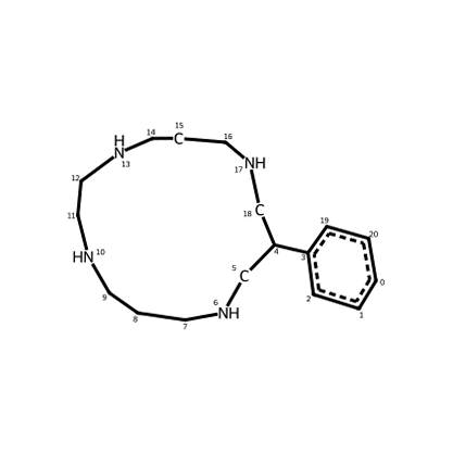 c1ccc(C2CNCCCNCCNCCCNC2)cc1